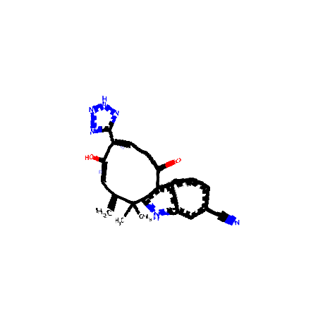 C=C1/C=C(O)\C(c2nn[nH]n2)=C/CC(=O)c2c([nH]c3cc(C#N)ccc23)C1(C)C